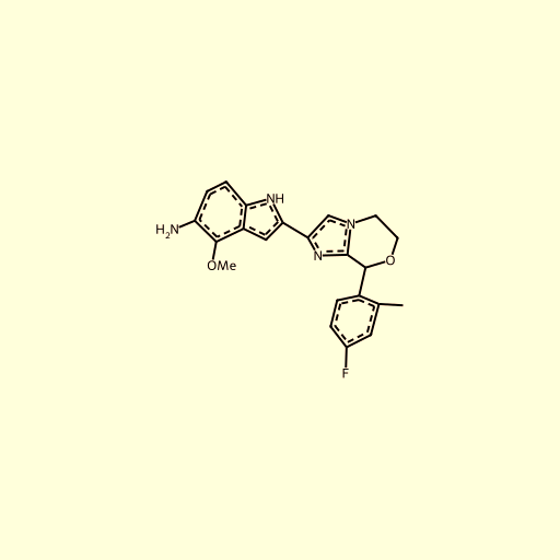 COc1c(N)ccc2[nH]c(-c3cn4c(n3)C(c3ccc(F)cc3C)OCC4)cc12